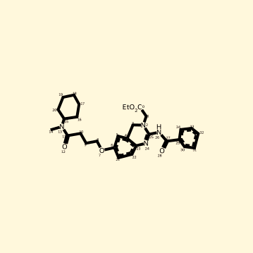 CCOC(=O)CN1Cc2cc(OCCCC(=O)N(C)C3CCCCC3)ccc2N=C1NC(=O)c1ccccc1